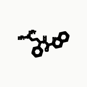 CCCN(CCC)CCC(NC(=O)c1ccc2ccccc2n1)c1ccccc1